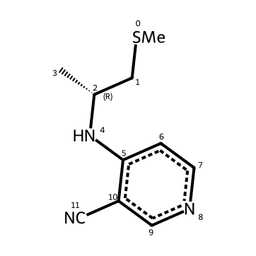 CSC[C@@H](C)Nc1ccncc1C#N